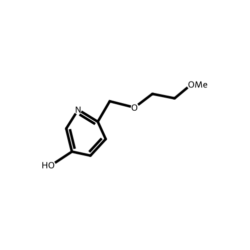 COCCOCc1ccc(O)cn1